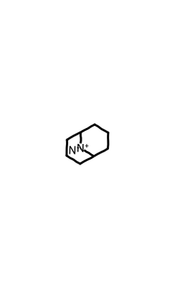 [N-]=[N+]1C2CCCC1CCC2